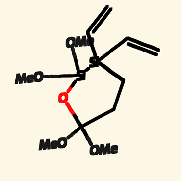 C=C[Si]1(C=C)CCC(OC)(OC)O[Si]1(OC)OC